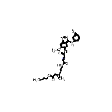 CCCCOC(=O)CN(C)CCCNC(=O)/C=C/C(=O)Nc1cc2c(Nc3cccc(Br)c3)ncnc2cc1OC